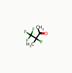 CC(=O)C(C)(F)C(F)(F)F